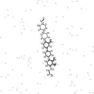 C=CC1CCC(C2CCC(c3ccc(-c4ccc(-c5ccc(C/C=C\C)c(F)c5F)cc4)cc3F)CC2)CC1